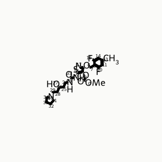 COC(=O)Oc1c(OCc2c(F)cc(C)cc2F)nsc1NC(=O)NCCC(O)CCN1CCCC1